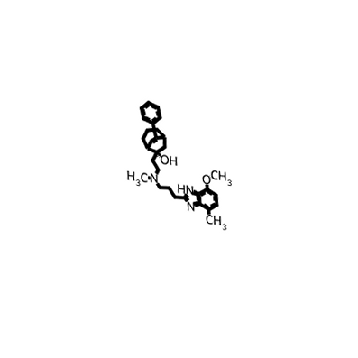 COc1ccc(C)c2nc(CCCN(C)CC[C@@]3(O)CC4CCCC3C=C4c3ccccc3)[nH]c12